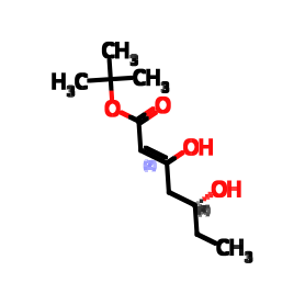 CC[C@@H](O)C/C(O)=C/C(=O)OC(C)(C)C